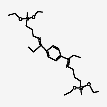 CCO[Si](C)(CCC/N=C(\CC)c1ccc(/C(CC)=N/CCC[Si](C)(OCC)OCC)cc1)OCC